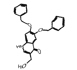 O=c1c(CO)c[nH]c2cc(OCc3ccccc3)c(OCc3ccccc3)cc12